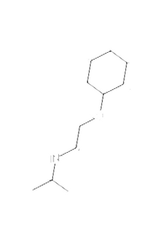 CC(C)NCCOC1CCCCC1